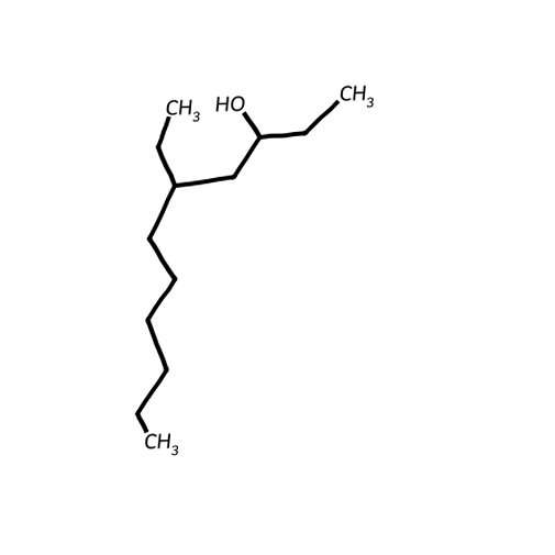 CCCCCCC(CC)CC(O)CC